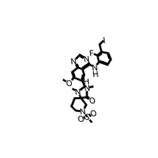 CNC(=O)C1(N(C)Cc2cc3c(Nc4cccc(CI)c4F)ncnc3cc2OC)CCCN(S(C)(=O)=O)C1